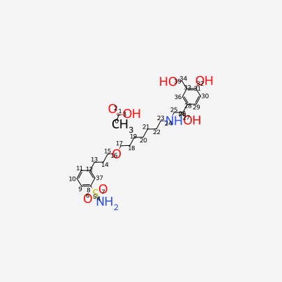 CC(=O)O.NS(=O)(=O)c1cccc(CCCOCCCCCCCNC[C@H](O)c2ccc(O)c(CO)c2)c1